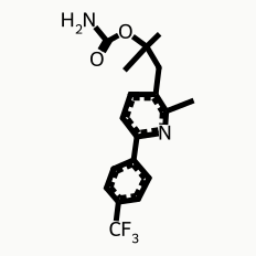 Cc1nc(-c2ccc(C(F)(F)F)cc2)ccc1CC(C)(C)OC(N)=O